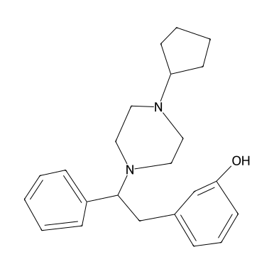 Oc1cccc(CC(c2ccccc2)N2CCN(C3CCCC3)CC2)c1